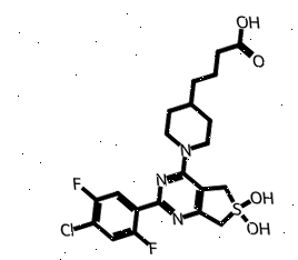 O=C(O)CCCC1CCN(c2nc(-c3cc(F)c(Cl)cc3F)nc3c2CS(O)(O)C3)CC1